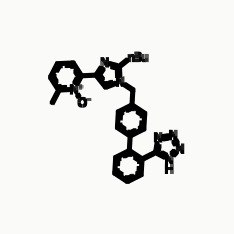 CCCCc1nc(-c2cccc(C)[n+]2[O-])cn1Cc1ccc(-c2ccccc2-c2nnn[nH]2)cc1